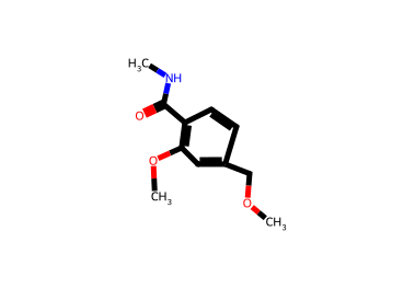 CNC(=O)c1ccc(COC)cc1OC